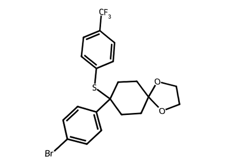 FC(F)(F)c1ccc(SC2(c3ccc(Br)cc3)CCC3(CC2)OCCO3)cc1